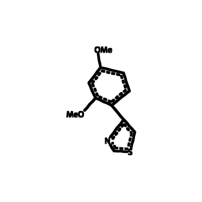 COc1ccc(-c2cscn2)c(OC)c1